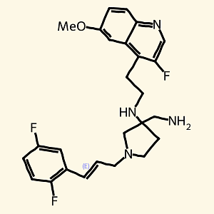 COc1ccc2ncc(F)c(CCNC3(CN)CCN(C/C=C/c4cc(F)ccc4F)C3)c2c1